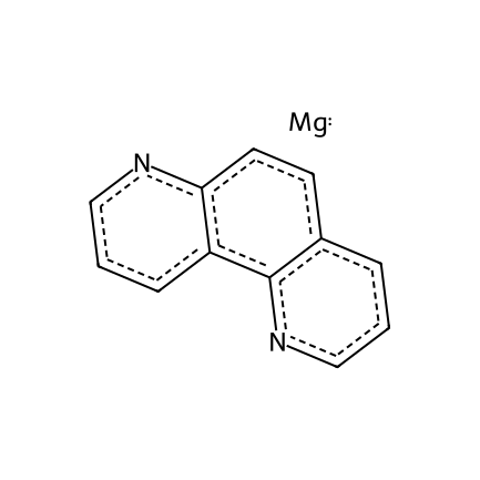 [Mg].c1cnc2c(c1)ccc1ncccc12